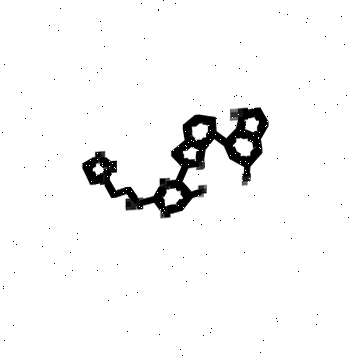 Fc1cc(-c2cccc3cc(-c4nc(NCCn5ccnn5)ncc4F)sc23)c2[nH]ccc2c1